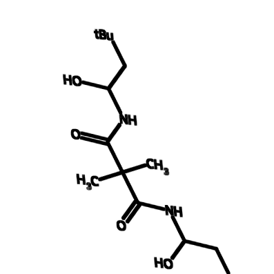 CC(C)(C)CC(O)NC(=O)C(C)(C)C(=O)NC(O)CC(C)(C)C